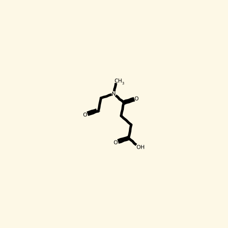 CN(C[C]=O)C(=O)CCC(=O)O